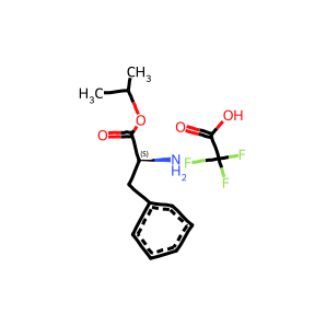 CC(C)OC(=O)[C@@H](N)Cc1ccccc1.O=C(O)C(F)(F)F